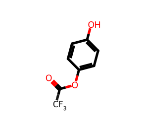 O=C(Oc1ccc(O)cc1)C(F)(F)F